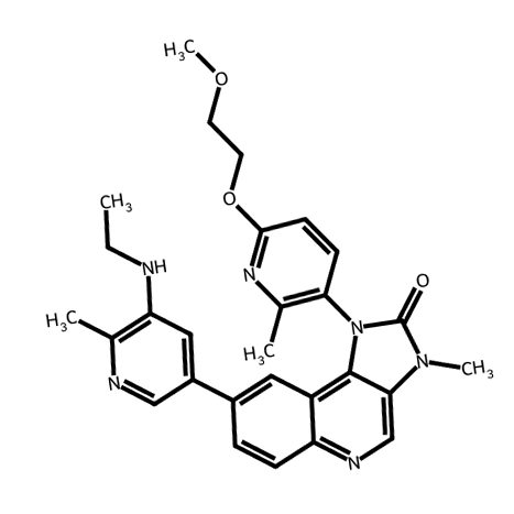 CCNc1cc(-c2ccc3ncc4c(c3c2)n(-c2ccc(OCCOC)nc2C)c(=O)n4C)cnc1C